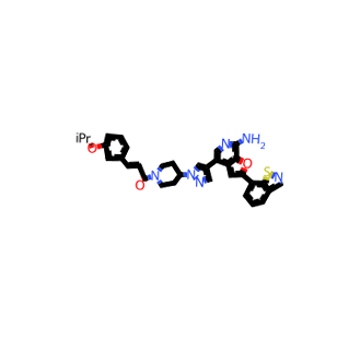 CC(C)Oc1cccc(/C=C/C(=O)N2CCC(n3cc(-c4cnc(N)c5oc(-c6cccc7cnsc67)cc45)cn3)CC2)c1